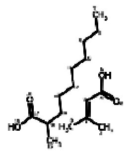 CC(C)=CC(=O)O.CCCCCCCCC(C)C(=O)O